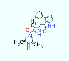 Cc1c(C(=O)N2C[C@H](C)N[C@@H](C)C2)c[nH]c1C=C1C(=O)Nc2cccc(-c3ccccc3)c21